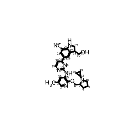 Cc1cnc(OCC2CCCN2C2CC2)c(Nc2nccc(-c3cc(C#N)c4c(c3)C(CO)CN4)n2)c1